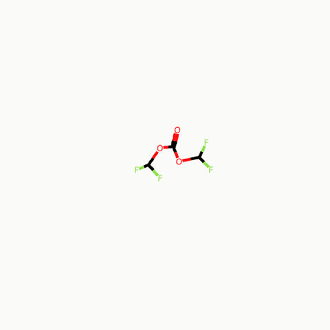 O=C(OC(F)F)OC(F)F